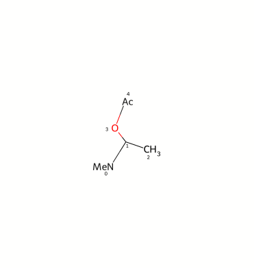 CNC(C)OC(C)=O